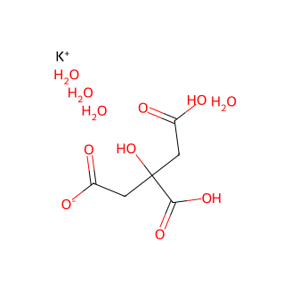 O.O.O.O.O=C([O-])CC(O)(CC(=O)O)C(=O)O.[K+]